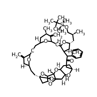 C=C1C[C@@H]2CC[C@@]34CC5OC6[C@@H](O3)[C@H]3O[C@H](CC[C@@H]3O[C@H]6[C@H]5O4)CC(=O)C(c3ccccc3)[C@@H]3[C@@H](C)[C@@H](C[C@H](C)CO[Si](C)(C)C(C)(C)C)O[C@H]3CC3O[C@@H](CCC1O2)C[C@@H](C)C3=C